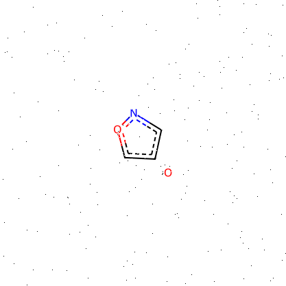 [O].c1cnoc1